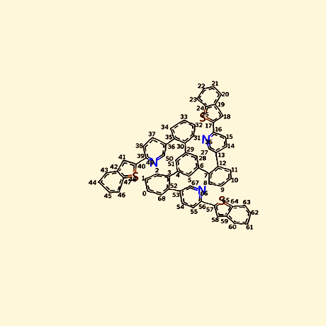 c1ccc(-c2cc(-c3ccccc3-c3ccc(-c4cc5ccccc5s4)nc3)cc(-c3ccccc3-c3ccc(-c4cc5ccccc5s4)nc3)c2)c(-c2ccc(-c3cc4ccccc4s3)nc2)c1